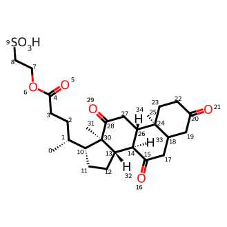 C[C@H](CCC(=O)OCCS(=O)(=O)O)[C@H]1CC[C@H]2[C@@H]3C(=O)CC4CC(=O)CC[C@]4(C)[C@H]3CC(=O)[C@]12C